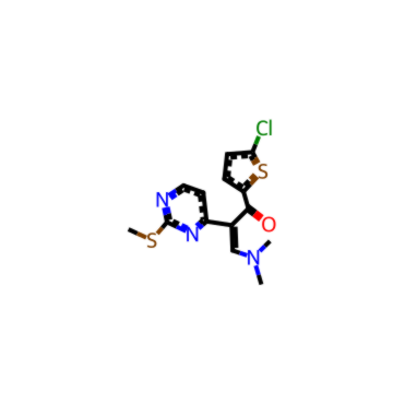 CSc1nccc(C(=CN(C)C)C(=O)c2ccc(Cl)s2)n1